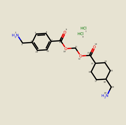 Cl.Cl.NCc1ccc(C(=O)OCOC(=O)C2CCC(CN)CC2)cc1